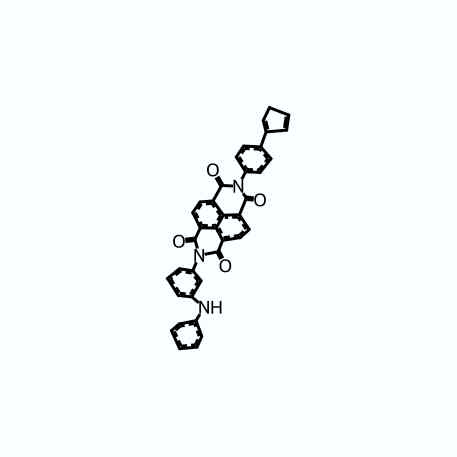 O=C1c2ccc3c4c(ccc(c24)C(=O)N1c1ccc(C2=CCC=C2)cc1)C(=O)N(c1cccc(Nc2ccccc2)c1)C3=O